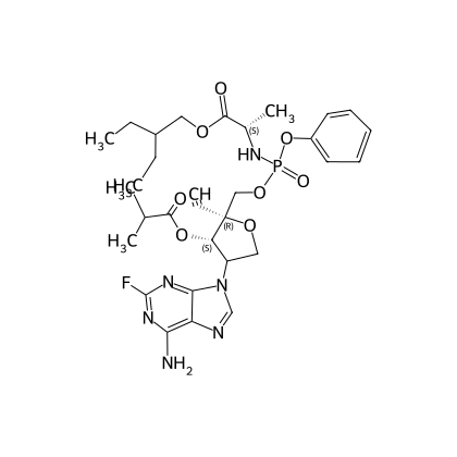 C#C[C@]1(COP(=O)(N[C@@H](C)C(=O)OCC(CC)CC)Oc2ccccc2)OCC(n2cnc3c(N)nc(F)nc32)[C@@H]1OC(=O)C(C)C